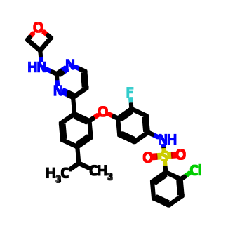 CC(C)c1ccc(-c2ccnc(NC3COC3)n2)c(Oc2ccc(NS(=O)(=O)c3ccccc3Cl)cc2F)c1